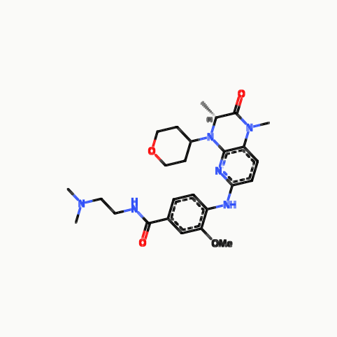 COc1cc(C(=O)NCCN(C)C)ccc1Nc1ccc2c(n1)N(C1CCOCC1)[C@H](C)C(=O)N2C